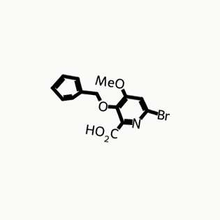 COc1cc(Br)nc(C(=O)O)c1OCc1ccccc1